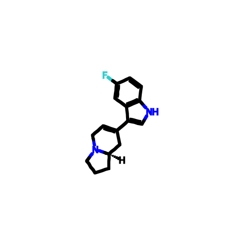 Fc1ccc2[nH]cc(C3=CCN4CCC[C@@H]4C3)c2c1